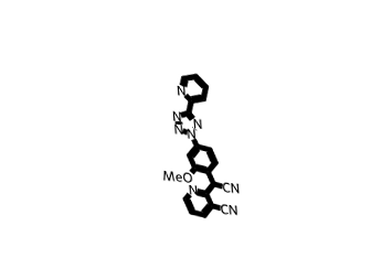 COc1cc(-n2nnc(-c3ccccn3)n2)ccc1C(C#N)c1ncccc1C#N